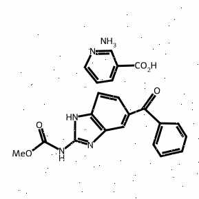 COC(=O)Nc1nc2cc(C(=O)c3ccccc3)ccc2[nH]1.N.O=C(O)c1cccnc1